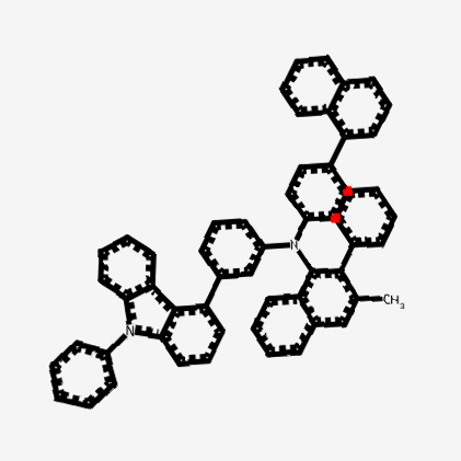 Cc1cc2ccccc2c(N(c2ccc(-c3cccc4ccccc34)cc2)c2cccc(-c3cccc4c3c3ccccc3n4-c3ccccc3)c2)c1-c1ccccc1